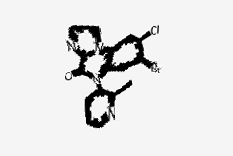 Cc1ncccc1-n1c(=O)c2nccn2c2cc(Cl)c(Br)cc21